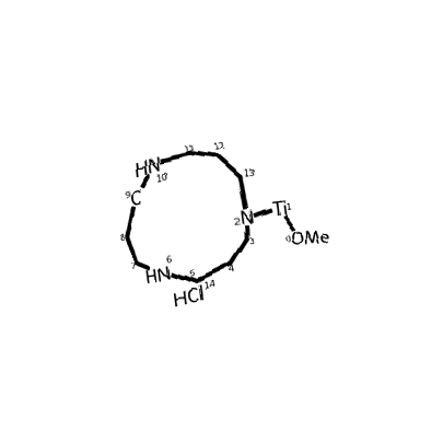 C[O][Ti][N]1CCCNCCCNCCC1.Cl